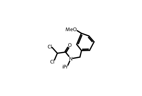 COc1cccc(CN(C(=O)C(Cl)Cl)C(C)C)c1